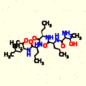 CCC[C@H](NC(=O)[C@H](CCC)NC(=O)[C@@H](N)C(C)O)C(=O)N[C@@H](CCC)C(=O)N[C@H](CC(C)C)C(C)=O